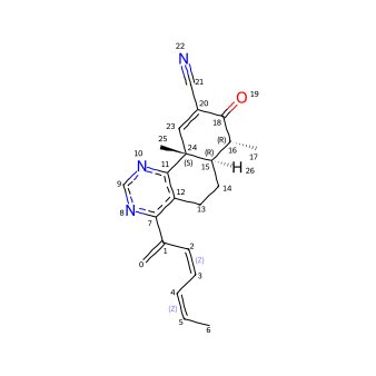 C=C(/C=C\C=C/C)c1ncnc2c1CC[C@@H]1[C@@H](C)C(=O)C(C#N)=C[C@@]21C